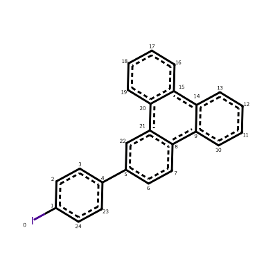 Ic1ccc(-c2ccc3c4ccccc4c4ccccc4c3c2)cc1